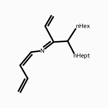 C=C/C=C\N=C(/C=C)C(CCCCCC)CCCCCCC